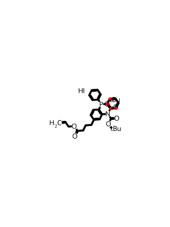 C=CCOC(=O)CCCc1ccc(P(c2ccccc2)c2ccccc2)c(N(C(=O)OC(C)(C)C)C(=O)OC(C)(C)C)c1.I